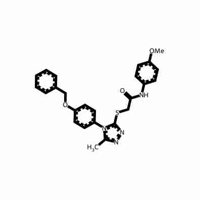 COc1ccc(NC(=O)CSc2nnc(C)n2-c2ccc(OCc3ccccc3)cc2)cc1